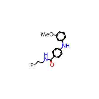 COc1cccc(Nc2ccc(C(=O)NCCC(C)C)cc2)c1